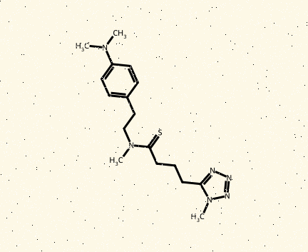 CN(CCc1ccc(N(C)C)cc1)C(=S)CCCc1nnnn1C